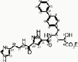 CCOC(=O)[C@H](O)C[C@@H](Cc1ccc(-c2ccccc2)cc1)NC(=O)c1cc(C(=O)NCCc2c[nH]cn2)n[nH]1